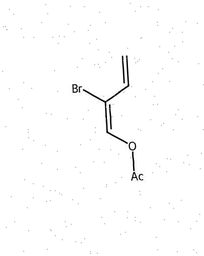 C=C/C(Br)=C\OC(C)=O